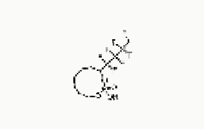 O=P1(O)OCCCCCCC(C(F)(F)C(F)(F)C(F)(F)CF)O1